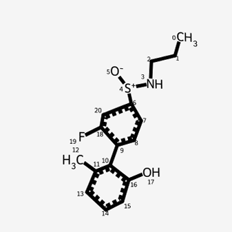 CCCN[S+]([O-])c1ccc(-c2c(C)cccc2O)c(F)c1